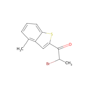 Cc1cccc2sc(C(=O)C(C)Br)cc12